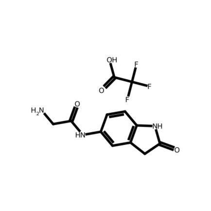 NCC(=O)Nc1ccc2c(c1)CC(=O)N2.O=C(O)C(F)(F)F